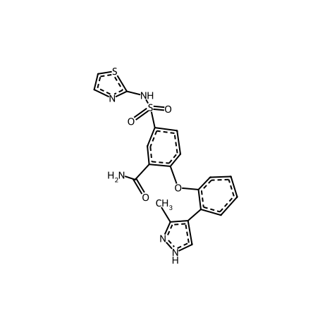 Cc1n[nH]cc1-c1ccccc1Oc1ccc(S(=O)(=O)Nc2nccs2)cc1C(N)=O